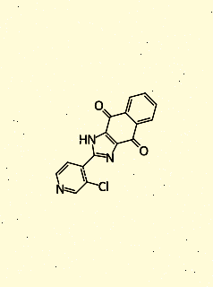 O=C1c2ccccc2C(=O)c2[nH]c(-c3ccncc3Cl)nc21